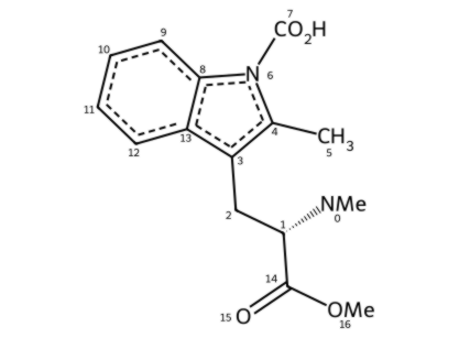 CN[C@@H](Cc1c(C)n(C(=O)O)c2ccccc12)C(=O)OC